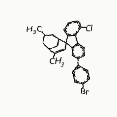 CC1=CC2(c3cc(-c4ccc(Br)cc4)ccc3-c3c(Cl)cccc32)C2CC(C)CC1C2